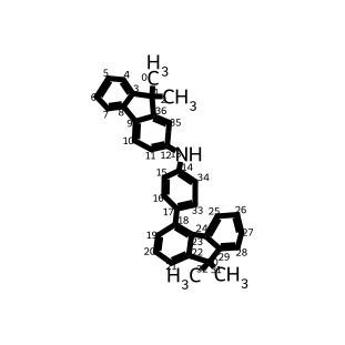 CC1(C)c2ccccc2-c2ccc(Nc3ccc(-c4cccc5c4-c4ccccc4C5(C)C)cc3)cc21